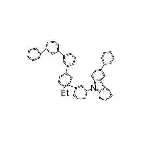 CCc1ccc(-c2cccc(-c3cccc(-c4ccccc4)c3)c2)cc1-c1cccc(-n2c3ccccc3c3cc(-c4ccccc4)ccc32)c1